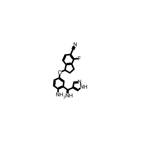 N#Cc1ccc2c(c1F)CCC2Oc1ccc(N)c(C(=N)c2cn[nH]c2)c1